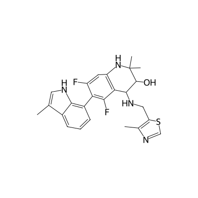 Cc1ncsc1CNC1c2c(cc(F)c(-c3cccc4c(C)c[nH]c34)c2F)NC(C)(C)C1O